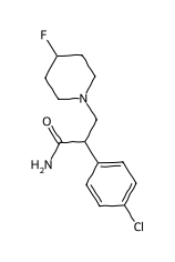 NC(=O)C(CN1CCC(F)CC1)c1ccc(Cl)cc1